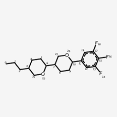 CCCC1CCC(C2CCC(c3cc(F)c(F)c(F)c3)OC2)OC1